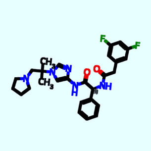 CC(C)(CN1CCCC1)n1cnc(NC(=O)[C@@H](NC(=O)Cc2cc(F)cc(F)c2)c2ccccc2)c1